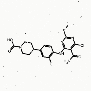 CSc1nc(Cl)c(C(N)=O)c(Nc2ccc(C3CCN(C(=O)O)CC3)cc2Cl)n1